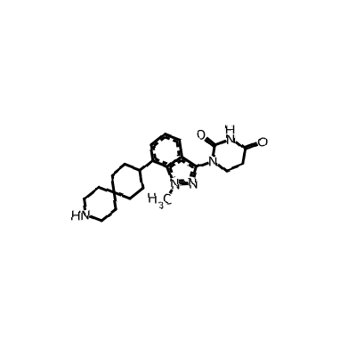 Cn1nc(N2CCC(=O)NC2=O)c2cccc(C3CCC4(CCNCC4)CC3)c21